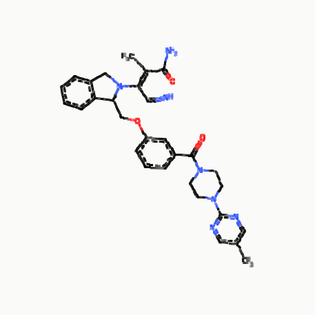 N=C/C(=C(\C(N)=O)C(F)(F)F)N1Cc2ccccc2C1COc1cccc(C(=O)N2CCN(c3ncc(C(F)(F)F)cn3)CC2)c1